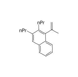 C=C(C)c1c(CCC)c(CCC)cc2ccccc12